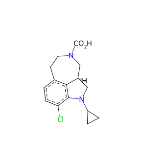 O=C(O)N1CCc2ccc(Cl)c3c2[C@@H](C1)CN3C1CC1